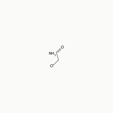 N.O=CCCl